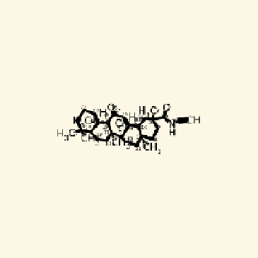 C#CNC(=O)C1(C)CC[C@]2(C)CC[C@]3(C)C(=CC(=O)[C@@H]4[C@@]5(C)CCCC(C)(C)C5CC[C@]43C)[C@H]2C1